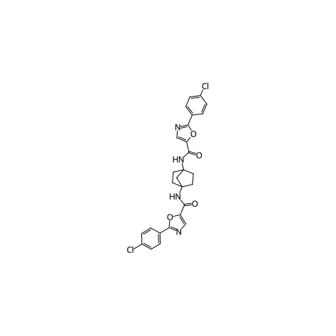 O=C(NC12CCC(NC(=O)c3cnc(-c4ccc(Cl)cc4)o3)(CC1)C2)c1cnc(-c2ccc(Cl)cc2)o1